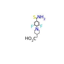 NC(=S)c1cc(F)c(N2CCC(CC(=O)O)CC2)c(F)c1